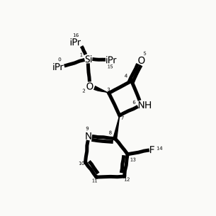 CC(C)[Si](O[C@H]1C(=O)N[C@H]1c1ncccc1F)(C(C)C)C(C)C